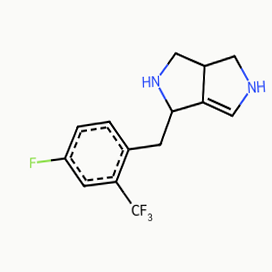 Fc1ccc(CC2NCC3CNC=C32)c(C(F)(F)F)c1